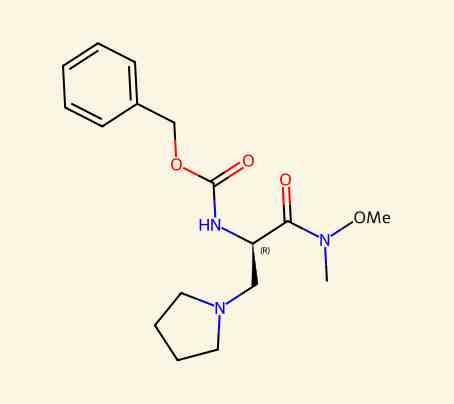 CON(C)C(=O)[C@@H](CN1CCCC1)NC(=O)OCc1ccccc1